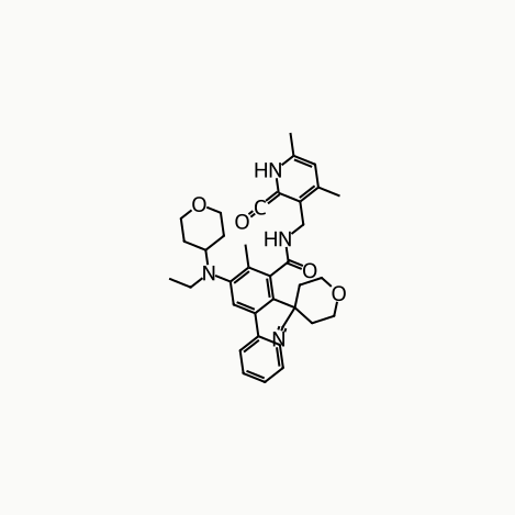 CCN(c1cc(-c2ccccc2)c(C2(C#N)CCOCC2)c(C(=O)NCC2=C(C)C=C(C)NC2=C=O)c1C)C1CCOCC1